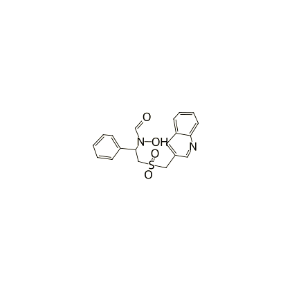 O=CN(O)C(CS(=O)(=O)Cc1cnc2ccccc2c1)c1ccccc1